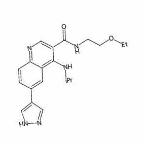 CCOCCNC(=O)c1cnc2ccc(-c3cn[nH]c3)cc2c1NC(C)C